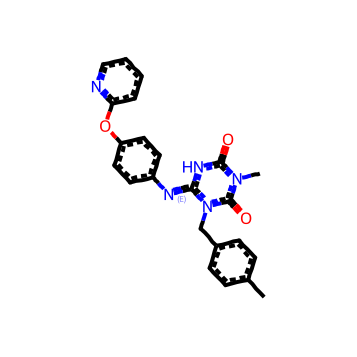 Cc1ccc(Cn2c(=O)n(C)c(=O)[nH]/c2=N\c2ccc(Oc3ccccn3)cc2)cc1